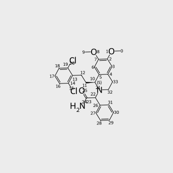 COc1cc2c(cc1OC)[C@H](CCc1c(Cl)cccc1Cl)N(C(C(N)=O)c1ccccc1)CC2